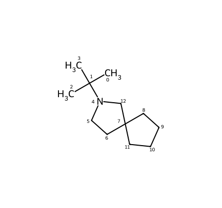 CC(C)(C)N1CCC2(CCCC2)C1